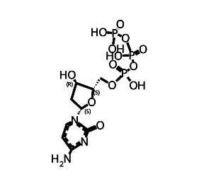 Nc1ccn([C@@H]2C[C@@H](O)[C@H](COP(=O)(O)OP(=O)(O)OP(=O)(O)O)O2)c(=O)n1